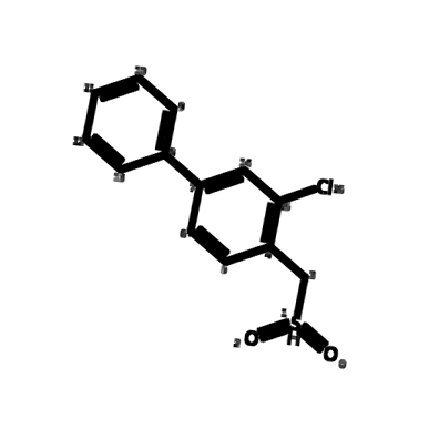 O=[SH](=O)Cc1c[c]c(-c2ccccc2)cc1Cl